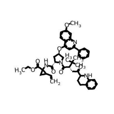 C=CC1CC1(NC(=O)[C@@H]1C[C@@H](Oc2cc(-c3ccccc3)nc3cc(OC)ccc23)CN1C(=O)[C@@H](CC(=O)C1CCc2ccccc2N1)C(C)(C)C)C(=O)OCC